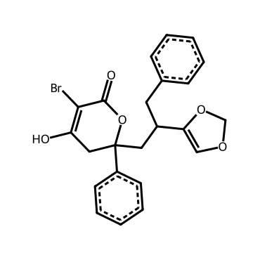 O=C1OC(CC(Cc2ccccc2)C2=COCO2)(c2ccccc2)CC(O)=C1Br